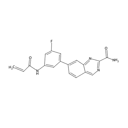 C=CC(=O)Nc1cc(F)cc(-c2ccc3cnc(C(N)=O)nc3c2)c1